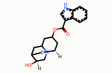 O=C(OC1CC2CC3C[C@@H](C1)N2C[C@H]3O)c1c[nH]c2ccccc12